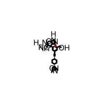 Cc1nnc([C@H]2CC[C@H](C#Cc3cc(CO)cc(C4(C(C)C)C(C#N)=C(N)Oc5[nH]nc(C)c54)c3)CC2)o1